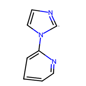 [c]1nccn1-c1ccccn1